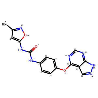 CC(C)(C)c1cc(NC(=O)Nc2ccc(Oc3ncnc4[nH]ncc34)cc2)on1